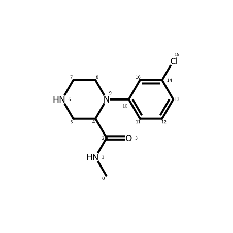 CNC(=O)C1CNCCN1c1cccc(Cl)c1